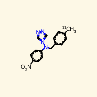 [11CH3]c1ccc(CN(c2ccc([N+](=O)[O-])cc2)n2cnnc2)cc1